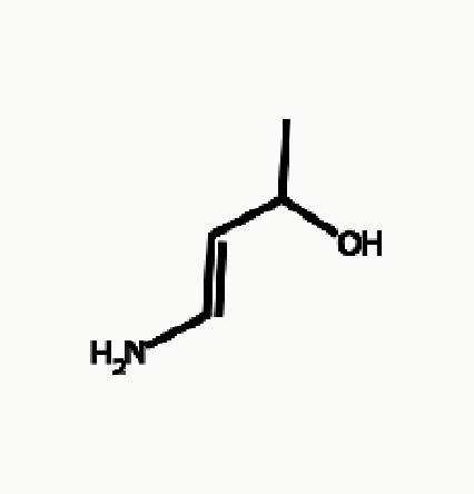 CC(O)C=CN